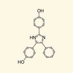 Oc1ccc(-c2nc(-c3ccccc3)c(-c3ccc(O)cc3)[nH]2)cc1